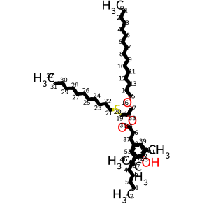 CCCCCCCCCCCCCCCCOCC(CSCCCCCCCCCCCC)OC(=O)CCc1cc(C)c(O)c(C(C)(C)CCCCC)c1